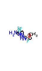 COc1cccc(F)c1C1=CNC(c2ccc(C(F)(F)F)c(N3CC[C@@H](N)C3)n2)C1